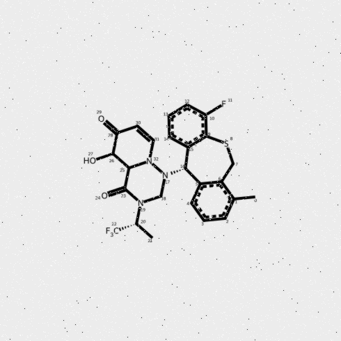 Cc1cccc2c1CSc1c(F)cccc1[C@H]2N1CN([C@H](C)C(F)(F)F)C(=O)C2C(O)C(=O)C=CN21